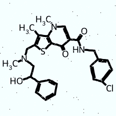 Cc1c(CN(C)CC(O)c2ccccc2)sc2c(=O)c(C(=O)NCc3ccc(Cl)cc3)cn(C)c12